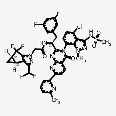 Cn1nc(NS(C)(=O)=O)c2c(Cl)ccc(-n3c([C@H](Cc4cc(F)cc(F)c4)NC(=O)Cn4nc(C(F)F)c5c4C(F)(F)[C@@H]4C[C@H]54)nc4nc(-c5cccc(C(F)(F)F)n5)ccc4c3=O)c21